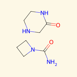 NC(=O)N1CCC1.O=C1CNCCN1